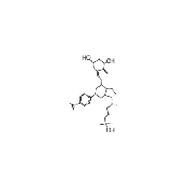 C=C1/C(=C\C=C2C[C@H](c3ccc(N(C)C)cc3)C[C@@]3(C)C2CC[C@@H]3[C@H](C)CCCC(C)(C)O)C[C@@H](O)C[C@H]1O